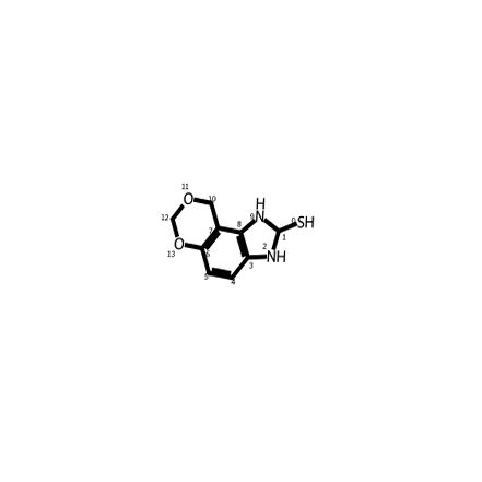 SC1Nc2ccc3c(c2N1)COCO3